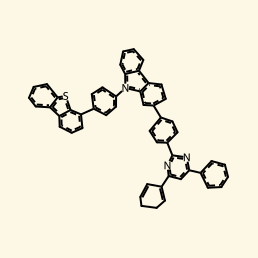 C1=CC(c2cc(-c3ccccc3)nc(-c3ccc(-c4ccc5c6ccccc6n(-c6ccc(-c7cccc8c7sc7ccccc78)cc6)c5c4)cc3)n2)=CCC1